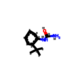 CC(C)(C)c1ccccc1NC(N)=O